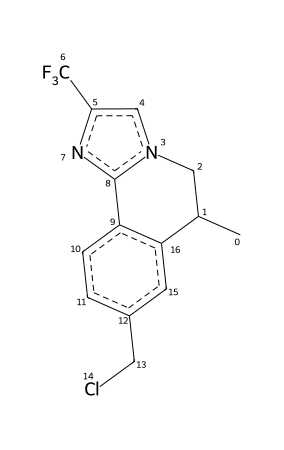 CC1Cn2cc(C(F)(F)F)nc2-c2ccc(CCl)cc21